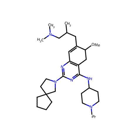 COC1Cc2c(nc(N3CCC4(CCCC4)C3)nc2NC2CCN(C(C)C)CC2)C=C1CC(C)CN(C)C